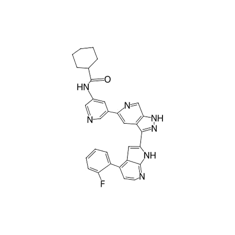 O=C(Nc1cncc(-c2cc3c(-c4cc5c(-c6ccccc6F)ccnc5[nH]4)n[nH]c3cn2)c1)C1CCCCC1